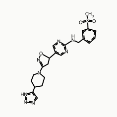 CS(=O)(=O)c1cccc(CNc2ncc(C3CC(N4CCC(c5cnn[nH]5)CC4)=NO3)cn2)c1